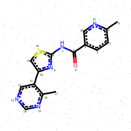 Cc1ccc(C(=O)Nc2nc(-c3cncnc3C)cs2)cn1